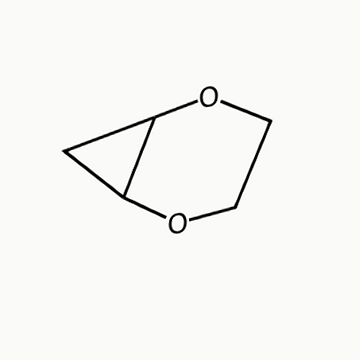 C1COC2CC2O1